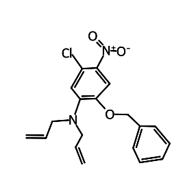 C=CCN(CC=C)c1cc(Cl)c([N+](=O)[O-])cc1OCc1ccccc1